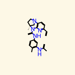 C=Cc1ccc2c(n1)N(C(=C)Nc1ccc(C)c(NC(=C)C)c1)[C@@]1(C)CCN2C1